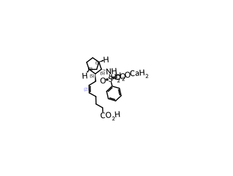 O.O.O=C(O)CCC/C=C\C[C@H]1[C@@H]2CC[C@@H](C2)[C@@H]1NS(=O)(=O)c1ccccc1.[CaH2]